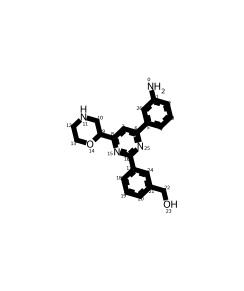 Nc1cccc(-c2cc(C3CNCCO3)nc(-c3cccc(CO)c3)n2)c1